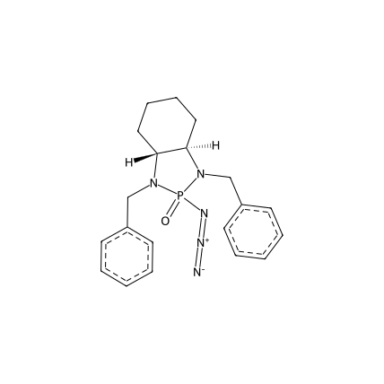 [N-]=[N+]=NP1(=O)N(Cc2ccccc2)[C@@H]2CCCC[C@H]2N1Cc1ccccc1